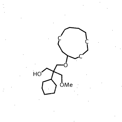 COCC(CO)(COC1CCCCCCCCCCC1)C1CCCCC1